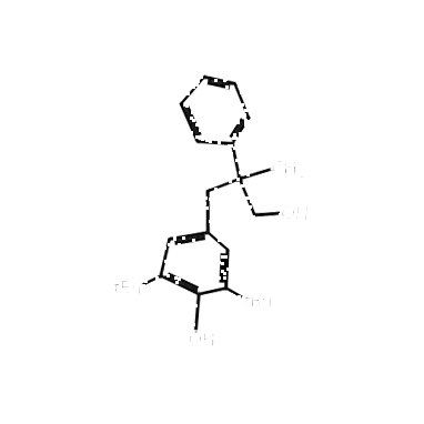 CC(C)(C)c1cc(CC(C)(CO)c2ccccc2)cc(C(C)(C)C)c1O